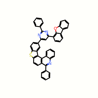 c1ccc(-c2nc(-c3ccc4sc5ccc6c(-c7ccccc7)nc7ccccc7c6c5c4c3)cc(-c3cccc4c3oc3ccccc34)n2)cc1